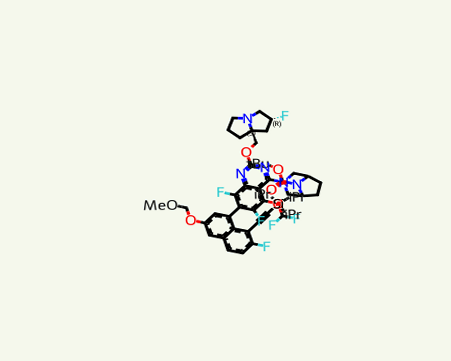 COCOc1cc(-c2c(F)c(OC(F)F)c3c(N4CC5CCC(C4)N5C(=O)OC(C)(C)C)nc(OC[C@@]45CCCN4C[C@H](F)C5)nc3c2F)c2c(C#C[Si](C(C)C)(C(C)C)C(C)C)c(F)ccc2c1